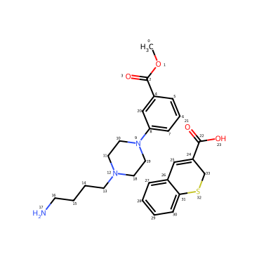 COC(=O)c1cccc(N2CCN(CCCCN)CC2)c1.O=C(O)C1=Cc2ccccc2SC1